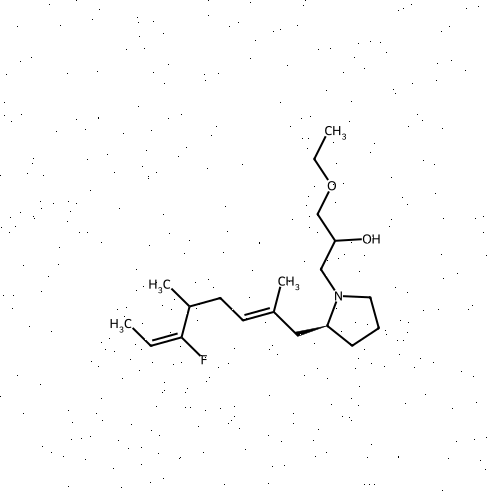 C/C=C(/F)C(C)C/C=C(\C)C[C@@H]1CCCN1CC(O)COCC